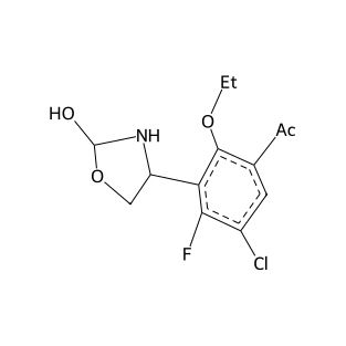 CCOc1c(C(C)=O)cc(Cl)c(F)c1C1COC(O)N1